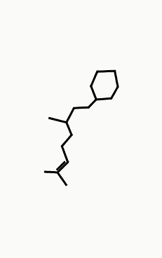 CC(C)=CCCC(C)CCC1CCCCC1